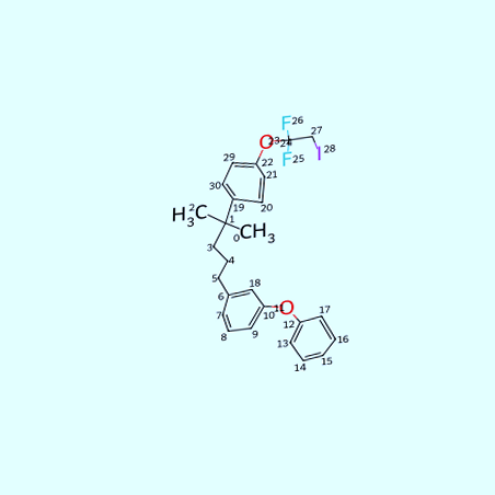 CC(C)(CCCc1cccc(Oc2ccccc2)c1)c1ccc(OC(F)(F)CI)cc1